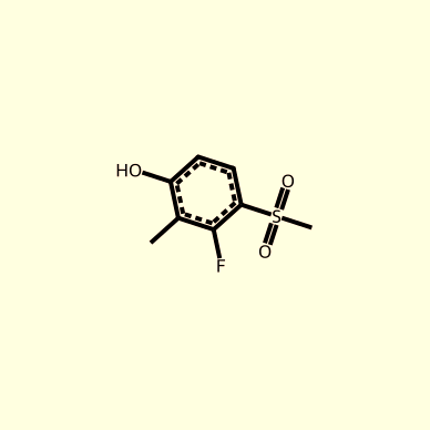 Cc1c(O)ccc(S(C)(=O)=O)c1F